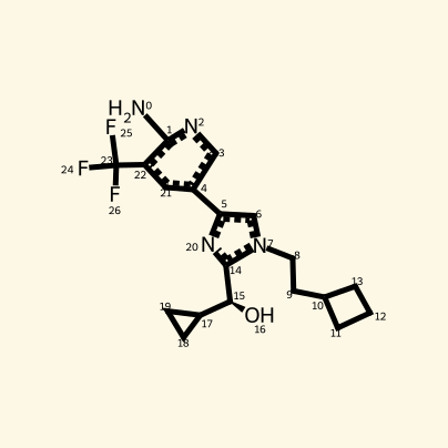 Nc1ncc(-c2cn(CCC3CCC3)c([C@@H](O)C3CC3)n2)cc1C(F)(F)F